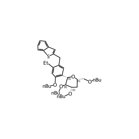 CCCCOC[C@@H]1C[C@H](OCCCC)[C@@H](OCCCC)[C@H](c2cc(Cc3cc4ccccc4s3)c(CC)cc2OCCCC)O1